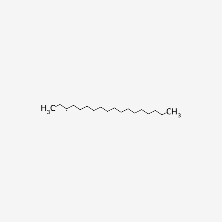 CC[CH]CCCCCCCCCCCCCCC